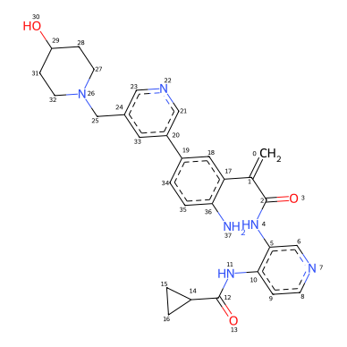 C=C(C(=O)Nc1cnccc1NC(=O)C1CC1)c1cc(-c2cncc(CN3CCC(O)CC3)c2)ccc1N